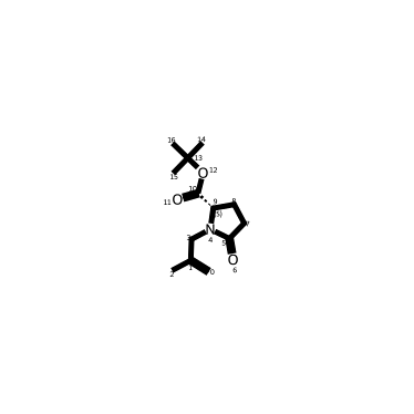 C=C(C)CN1C(=O)CC[C@H]1C(=O)OC(C)(C)C